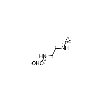 CC(=O)NCCN[C]=O